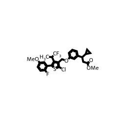 COC(=O)CC(c1cccc(OCc2c(Cl)sc(-c3cc(OC)ccc3F)c2C(C)C(F)(F)F)c1)C1CC1